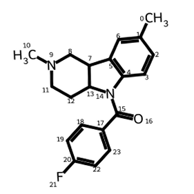 Cc1ccc2c(c1)C1CN(C)CCC1N2C(=O)c1ccc(F)cc1